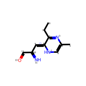 CCC1=NC(C)=CN/C1=C\C(=N)C=O